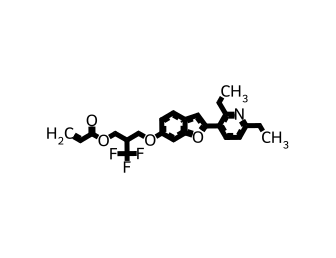 C=CC(=O)OCC(COc1ccc2cc(-c3ccc(CC)nc3CC)oc2c1)C(F)(F)F